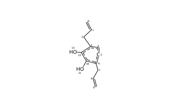 C=CCc1ccc(CC=C)c(O)c1O